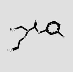 C=CCON(CC)C(=O)Oc1cccc(Cl)c1